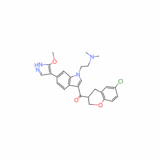 COc1[nH]ncc1-c1ccc2c(C(=O)C3COc4ccc(Cl)cc4C3)cn(CCN(C)C)c2c1